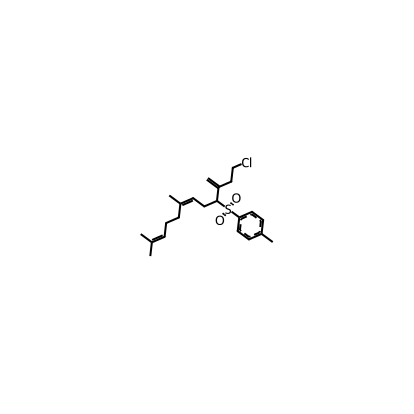 C=C(CCCl)C(C/C=C(/C)CCC=C(C)C)S(=O)(=O)c1ccc(C)cc1